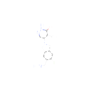 Cc1c(N2Cc3cc(F)c(CN)cc3C2)cn[nH]c1=O